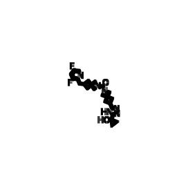 O=C(N1CC2(CC(Cc3ncc(F)cc3F)C2)C1)N1CC2(CC(c3nnc(C4(O)CC4)[nH]3)C2)C1